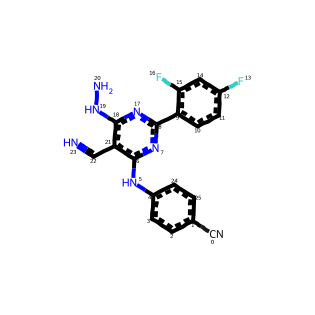 N#Cc1ccc(Nc2nc(-c3ccc(F)cc3F)nc(NN)c2C=N)cc1